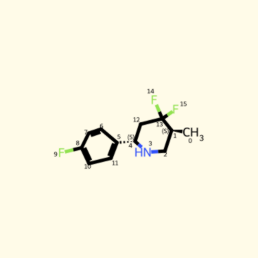 C[C@H]1CN[C@H](c2ccc(F)cc2)CC1(F)F